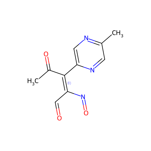 CC(=O)/C(=C(\C=O)N=O)c1cnc(C)cn1